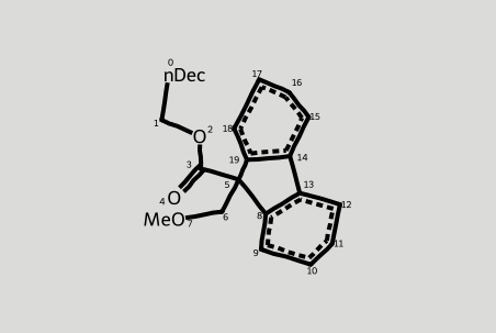 CCCCCCCCCCCOC(=O)C1(COC)c2ccccc2-c2ccccc21